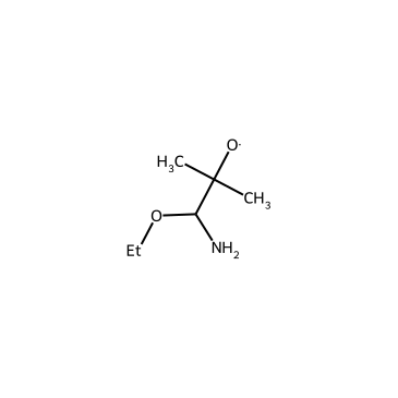 CCOC(N)C(C)(C)[O]